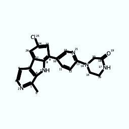 Cc1nccc2c1[nH]c1c(-c3ccc(N4CCNC(=O)C4)nc3)cc(Cl)cc12